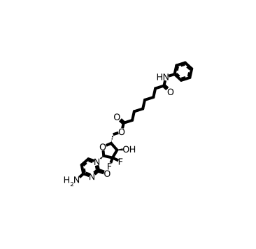 Nc1ccn([C@@H]2O[C@H](COC(=O)CCCCCCC(=O)Nc3ccccc3)[C@@H](O)C2(F)F)c(=O)n1